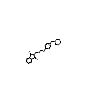 O=C1c2ccccc2C(=O)N1CCCOc1ccc(CN2CCCCC2)cc1